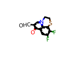 O=Cc1cn2c3c(c(F)c(F)cc3c1=O)SCC2